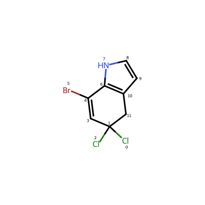 ClC1(Cl)C=C(Br)c2[nH]ccc2C1